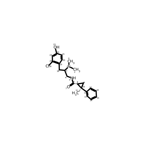 CN(C)C(CNC(=O)[C@@H]1C[C@@]1(C)c1ccccc1)Cc1ccc(O)cc1Cl